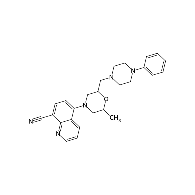 CC1CN(c2ccc(C#N)c3ncccc23)CC(CN2CCN(c3ccccc3)CC2)O1